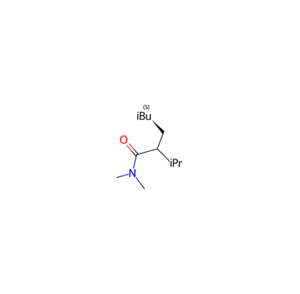 CC[C@H](C)CC(C(=O)N(C)C)C(C)C